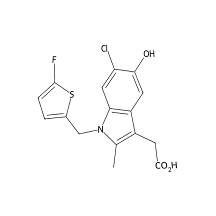 Cc1c(CC(=O)O)c2cc(O)c(Cl)cc2n1Cc1ccc(F)s1